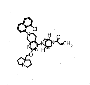 C=CC(=O)N1C[C@H]2C[C@@H]1CN2c1nc(OCC23CCCN2CCC3)nc2c1CCN(c1cccc3cccc(Cl)c13)C2